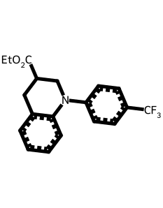 CCOC(=O)C1Cc2ccccc2N(c2ccc(C(F)(F)F)cc2)C1